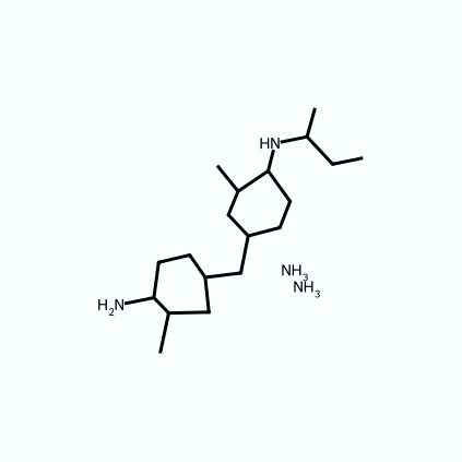 CCC(C)NC1CCC(CC2CCC(N)C(C)C2)CC1C.N.N